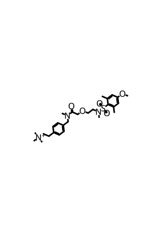 COc1cc(C)c(S(=O)(=O)N(C)CCOCC(=O)N(C)Cc2ccc(CC[N+](C)(C)C)cc2)c(C)c1